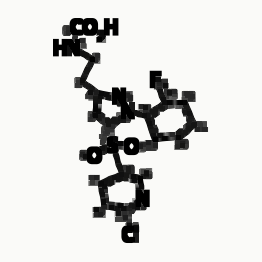 O=C(O)NCCc1cc(S(=O)(=O)c2ccc(Cl)nc2)n(-c2ccccc2F)n1